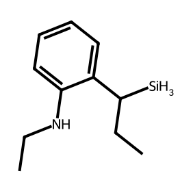 CCNc1ccccc1C([SiH3])CC